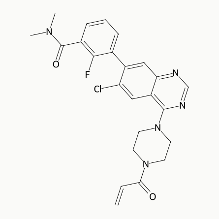 C=CC(=O)N1CCN(c2ncnc3cc(-c4cccc(C(=O)N(C)C)c4F)c(Cl)cc23)CC1